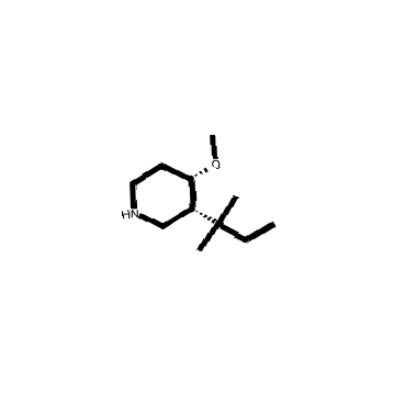 CCC(C)(C)[C@@H]1CNCC[C@@H]1OC